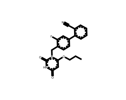 CCCOc1cc(=O)[nH]c(=O)n1Cc1ccc(-c2ccccc2C#N)cc1F